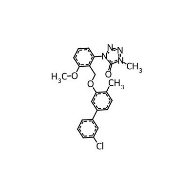 COc1cccc(-n2nnn(C)c2=O)c1COc1cc(-c2cccc(Cl)c2)ccc1C